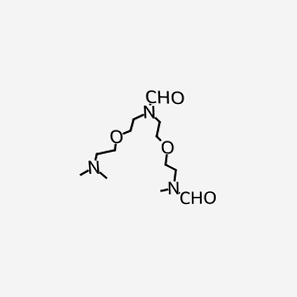 CN(C)CCOCCN(C=O)CCOCCN(C)C=O